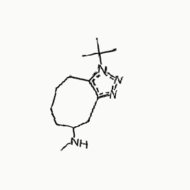 CNC1CCCCc2c(nnn2C(C)(C)C)C1